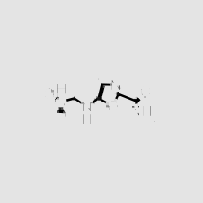 NC(=O)c1ncc(NC[SH](=O)=O)o1